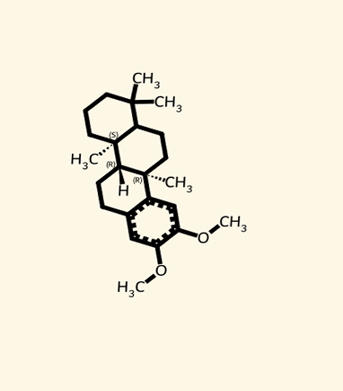 COc1cc2c(cc1OC)[C@]1(C)CCC3C(C)(C)CCC[C@]3(C)[C@H]1CC2